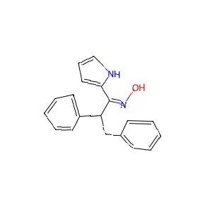 ON=C(c1ccc[nH]1)C(Cc1ccccc1)c1ccccc1